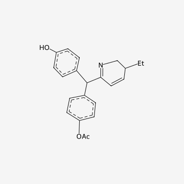 CCC1C=CC(C(c2ccc(O)cc2)c2ccc(OC(C)=O)cc2)=NC1